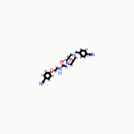 N#Cc1ccc(CN2CC3CN(CC(=O)NCCOc4ccc(C#N)cc4)CC(C2)O3)cc1